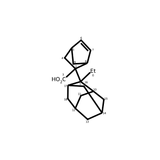 CCC1(C2(C(=O)O)CC3C=CC2C3)C2CC3CC(C2)CC1C3